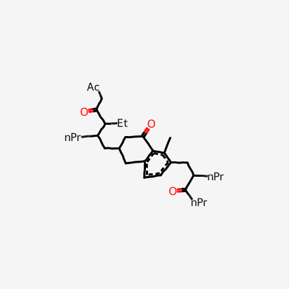 CCCC(=O)C(CCC)Cc1ccc2c(c1C)C(=O)CC(CC(CCC)C(CC)C(=O)CC(C)=O)C2